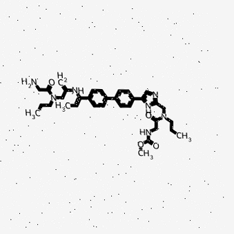 C=C(CN(CCC)C(=O)CN)N/C(=C\C)c1ccc(-c2ccc(-c3cnc(CN(CCC)C(=O)CNC(=O)OC)[nH]3)cc2)cc1